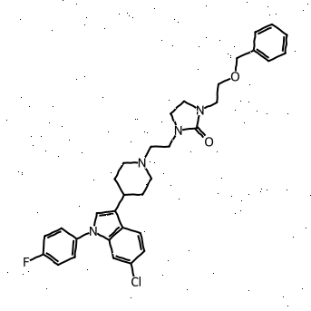 O=C1N(CCOCc2ccccc2)CCN1CCN1CCC(c2cn(-c3ccc(F)cc3)c3cc(Cl)ccc23)CC1